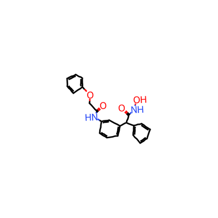 O=C(COc1ccccc1)Nc1cccc(C(C(=O)NO)c2ccccc2)c1